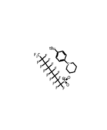 CC(C)(C)c1ccc([S+]2CCCCC2)cc1.O=S(=O)([O-])C(F)(F)C(F)(F)C(F)(F)C(F)(F)C(F)(F)C(F)(F)C(F)(F)C(F)(F)F